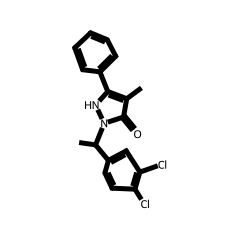 Cc1c(-c2ccccc2)[nH]n(C(C)c2ccc(Cl)c(Cl)c2)c1=O